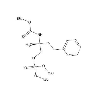 CC(C)(C)OC(=O)N[C@](C)(CCc1ccccc1)COP(=O)(OC(C)(C)C)OC(C)(C)C